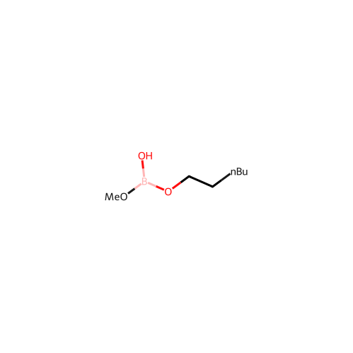 CCCCCCOB(O)OC